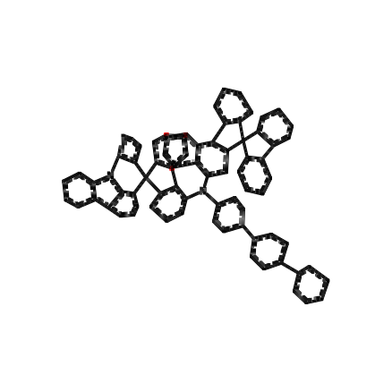 c1ccc(-c2ccc(-c3ccc(N(c4cccc5c4-c4ccccc4C54c5ccccc5-n5c6ccccc6c6cccc4c65)c4cc5c(c6ccccc46)-c4ccccc4C54c5ccccc5-c5ccccc54)cc3)cc2)cc1